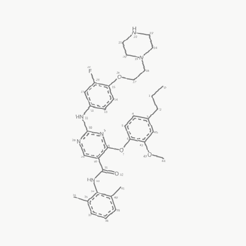 CCCc1ccc(Oc2nc(Nc3ccc(OCCN4CCNCC4)c(F)c3)ncc2C(=O)Nc2c(C)cccc2C)c(OC)c1